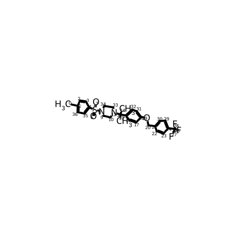 Cc1ccc(S(=O)(=O)N2CCN(C(C)(C)c3ccc(OCc4ccc(C(F)(F)F)cc4)cc3)CC2)cc1